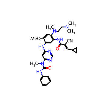 COc1cc(N(C)CCN(C)C)c(NC(=O)/C(C#N)=C/C2CC2)cc1Nc1cc(N(C)C(=O)Nc2ccccc2)ncn1